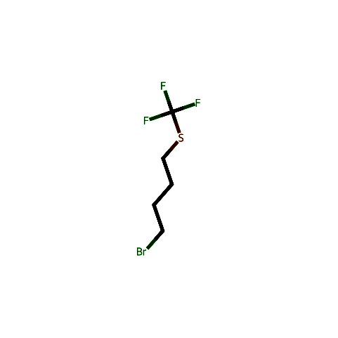 FC(F)(F)SCCCCBr